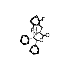 O=C1O[C@H](c2ccccc2)[C@H](c2ccccc2)N[C@H]1Cc1c(F)cccc1F